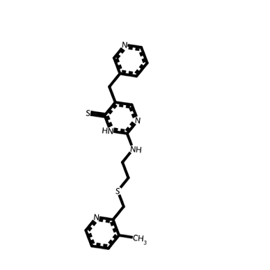 Cc1cccnc1CSCCNc1ncc(Cc2cccnc2)c(=S)[nH]1